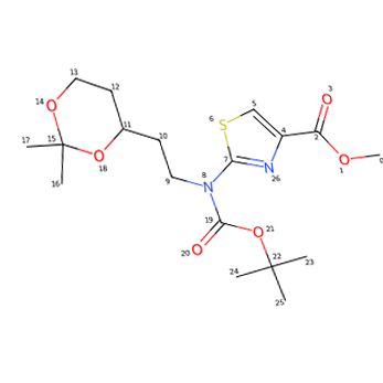 COC(=O)c1csc(N(CCC2CCOC(C)(C)O2)C(=O)OC(C)(C)C)n1